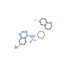 C[C@H](C[C@H]1CC[C@@H](c2ccnc3ccc(F)cc32)CC1)Nc1ncnc2cc(Br)ccc12